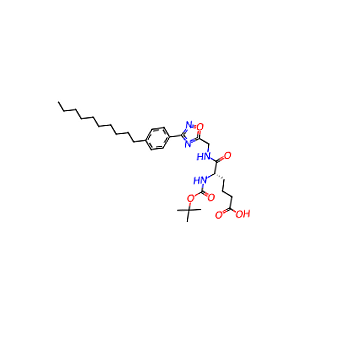 CCCCCCCCCCc1ccc(-c2noc(CNC(=O)[C@H](CCCC(=O)O)NC(=O)OC(C)(C)C)n2)cc1